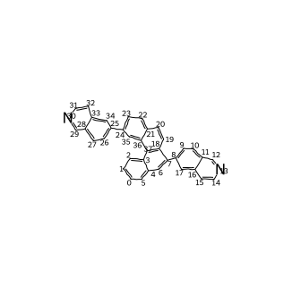 c1ccc2c(c1)cc(-c1ccc3cnccc3c1)c1ccc3ccc(-c4ccc5cnccc5c4)cc3c12